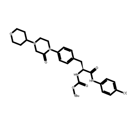 CC(C)(C)OC(=O)N[C@@H](Cc1ccc(N2CCN(C3CCOCC3)CC2=O)cc1)C(=O)Nc1ccc(C(=O)O)cc1